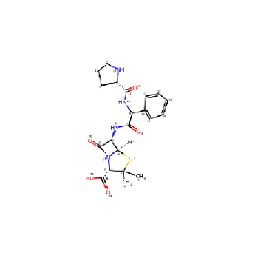 CC1(C)S[C@@H]2[C@H](NC(=O)C(NC(=O)[C@@H]3CCCN3)c3ccccc3)C(=O)N2[C@H]1C(=O)O